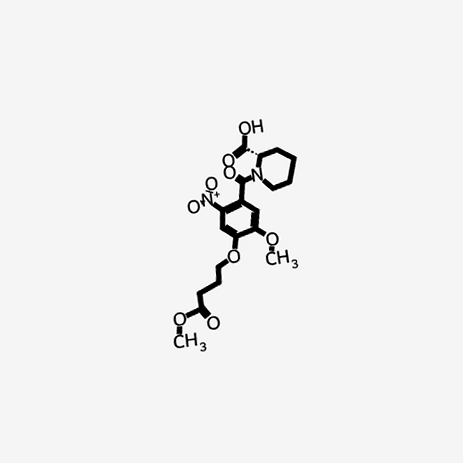 COC(=O)CCCOc1cc([N+](=O)[O-])c(C(=O)N2CCCC[C@H]2C(=O)O)cc1OC